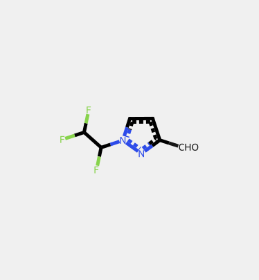 O=Cc1ccn(C(F)C(F)F)n1